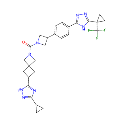 O=C(N1CC(c2ccc(-c3nnc(C4(C(F)(F)F)CC4)[nH]3)cc2)C1)N1CC2(CC(c3nc(C4CC4)n[nH]3)C2)C1